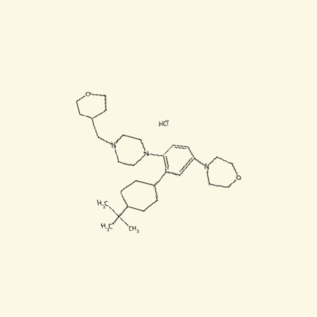 CC(C)(C)C1CCC(c2cc(N3CCOCC3)ccc2N2CCN(CC3CCOCC3)CC2)CC1.Cl